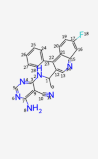 CC(Nc1ncnc(N)c1C#N)c1cnc2cc(F)ccc2c1-c1ccccc1